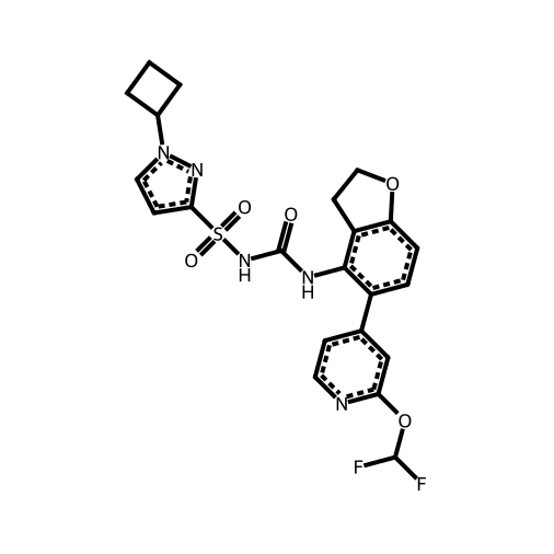 O=C(Nc1c(-c2ccnc(OC(F)F)c2)ccc2c1CCO2)NS(=O)(=O)c1ccn(C2CCC2)n1